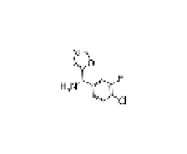 N[C@@H](c1ccc(Cl)c(F)c1)c1cnco1